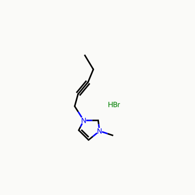 Br.CCC#CCN1C=CN(C)C1